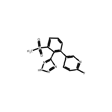 CS(=O)(=O)c1cccc(-c2ccc(F)nc2)c1-c1nn[nH]n1